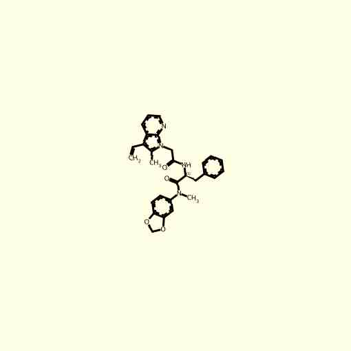 C=Cc1c(C)n(CC(=O)N[C@@H](Cc2ccccc2)C(=O)N(C)c2ccc3c(c2)OCO3)c2ncccc12